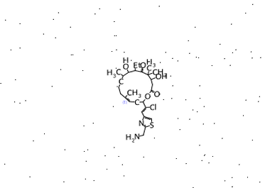 CCC1C(=O)C(C)(C)C(O)CC(=O)OC(C(Cl)=Cc2csc(CN)n2)C/C=C(\C)CCCC(C)C1O